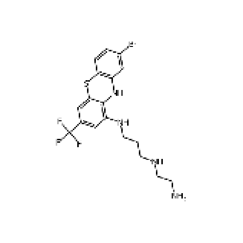 NCCNCCCNc1cc(C(F)(F)F)cc2c1Nc1cc(Br)ccc1S2